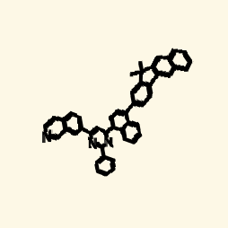 CC1(C)c2cc(-c3ccc(-c4cc(-c5ccc6ccncc6c5)nc(-c5ccccc5)n4)c4ccccc34)ccc2-c2cc3ccccc3cc21